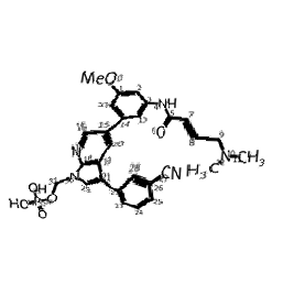 COc1cc(NC(=O)C=CCN(C)C)cc(-c2cnc3c(c2)c(-c2cccc(C#N)c2)cn3COP(=O)(O)O)c1